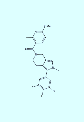 COc1ccc(C(=O)N2CCc3c(nn(C)c3-c3cc(F)c(F)c(F)c3)C2)c(C)n1